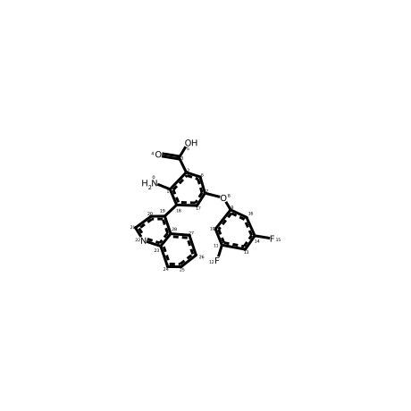 Nc1c(C(=O)O)cc(Oc2cc(F)cc(F)c2)cc1-c1ccnc2ccccc12